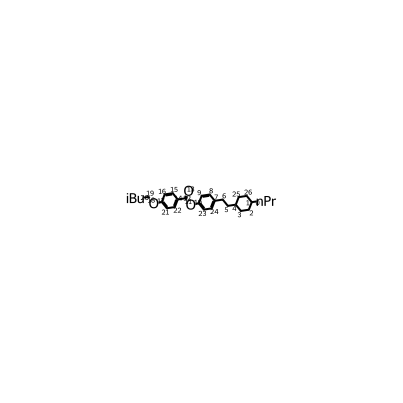 CCCC1CCC(CCc2ccc(OC(=O)c3ccc(OCC(C)CC)cc3)cc2)CC1